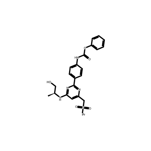 CC(C)S(=O)(=O)Cc1cc(N[C@@H](C)CO)nc(-c2ccc(NC(=O)Oc3ccccc3)cc2)n1